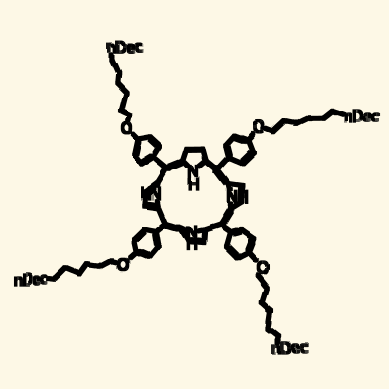 CCCCCCCCCCCCCCCCOc1ccc(/C2=C3\C=CC(N3)/C(c3ccc(OCCCCCCCCCCCCCCCC)cc3)=c3/cc/c([nH]3)=C(\c3ccc(OCCCCCCCCCCCCCCCC)cc3)C3C=C/C(=C(\c4ccc(OCCCCCCCCCCCCCCCC)cc4)c4ccc2[nH]4)N3)cc1